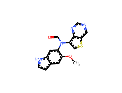 COc1cc2cc[nH]c2cc1N(C=O)c1csc2cncnc12